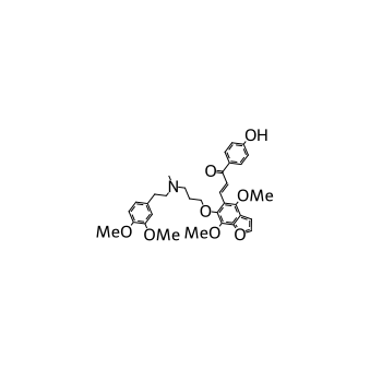 COc1ccc(CCN(C)CCCOc2c(C=CC(=O)c3ccc(O)cc3)c(OC)c3ccoc3c2OC)cc1OC